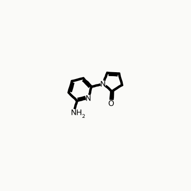 Nc1cccc(N2C=CCC2=O)n1